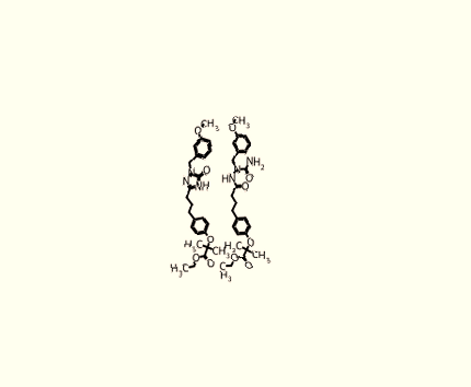 CCOC(=O)C(C)(C)Oc1ccc(CCCC(=O)NN(Cc2cccc(OC)c2)C(N)=O)cc1.CCOC(=O)C(C)(C)Oc1ccc(CCCc2nn(Cc3cccc(OC)c3)c(=O)[nH]2)cc1